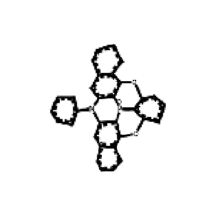 O=P12c3c4cccc3Oc3c1c(cc1ccccc31)N(c1ccccc1)c1cc3ccccc3c(c12)O4